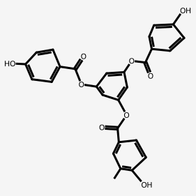 Cc1cc(C(=O)Oc2cc(OC(=O)c3ccc(O)cc3)cc(OC(=O)c3ccc(O)cc3)c2)ccc1O